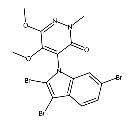 COc1nn(C)c(=O)c(-n2c(Br)c(Br)c3ccc(Br)cc32)c1OC